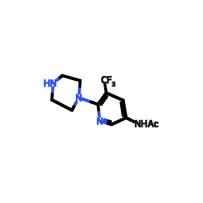 CC(=O)Nc1cnc(N2CCNCC2)c(C(F)(F)F)c1